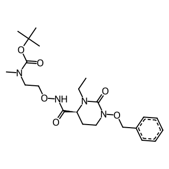 CCN1C(=O)N(OCc2ccccc2)CC[C@H]1C(=O)NOCCN(C)C(=O)OC(C)(C)C